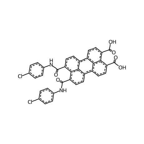 O=C(O)c1ccc2c3ccc(C(=O)Nc4ccc(Cl)cc4)c4c(C(=O)Nc5ccc(Cl)cc5)ccc(c5ccc(C(=O)O)c1c25)c43